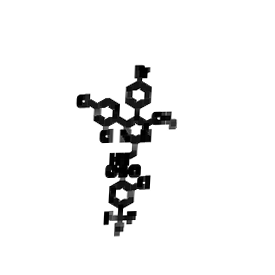 Cc1nc(CNS(=O)(=O)c2ccc(C(F)(F)F)cc2Cl)nc(-c2ccc(Cl)cc2Cl)c1-c1ccc(Br)cc1